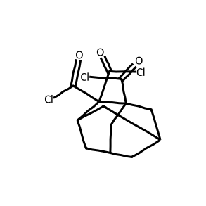 O=C(Cl)C12CC3CC(CC(C3)C1(C(=O)Cl)C(=O)Cl)C2